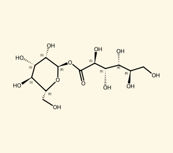 O=C(O[C@H]1O[C@H](CO)[C@@H](O)[C@H](O)[C@@H]1O)[C@@H](O)[C@@H](O)[C@H](O)[C@H](O)CO